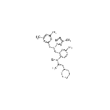 CCC(c1ccc(C(F)(F)F)cc1CN(Cc1cc(C(F)(F)F)cc(C(F)(F)F)c1)c1nnn(C)n1)N(C)CC1CCOCC1